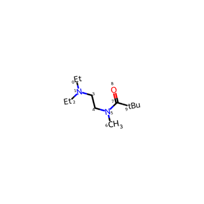 CCN(CC)CCN(C)C(=O)C(C)(C)C